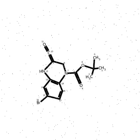 CC(C)(C)OC(=O)N1CC(=C=O)Nc2cc(Br)ccc21